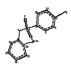 Cc1ccc(S(=O)(=O)[CH]c2ccccc2F)cc1